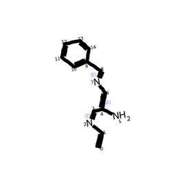 C=C\N=C/C(N)=C\N=C\c1ccccc1